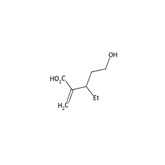 C=C(C(=O)O)C(CC)CCO